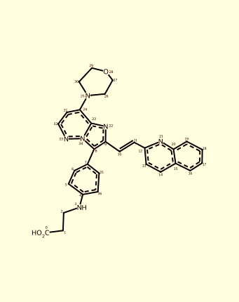 O=C(O)CCNc1ccc(-c2c(/C=C/c3ccc4ccccc4n3)nc3c(N4CCOCC4)ccnn23)cc1